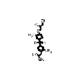 CCC(CC)(c1ccc(CC(O)C(C)(C)C)c(C)c1)c1ccc(OCC(O)CO)c(C)c1